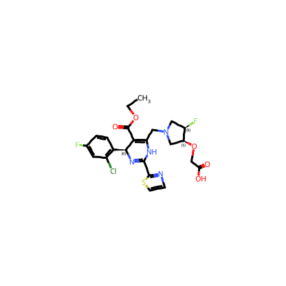 CCOC(=O)C1=C(CN2C[C@@H](F)[C@@H](OCC(=O)O)C2)NC(c2nccs2)=N[C@H]1c1ccc(F)cc1Cl